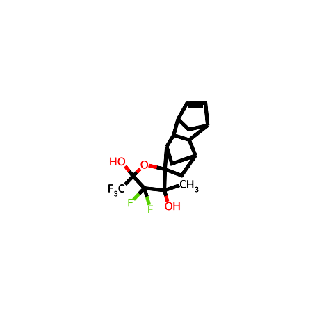 CC1(O)C2(CC3CC2C2C4C=CC(C4)C32)OC(O)(C(F)(F)F)C1(F)F